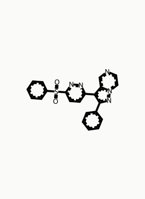 O=S(=O)(c1ccccc1)c1ccc(-c2c(-c3ccccc3)nn3ccncc23)nn1